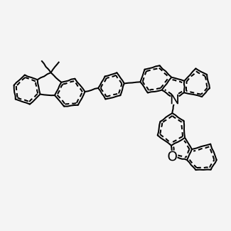 CC1(C)c2ccccc2-c2ccc(-c3ccc(-c4ccc5c6ccccc6n(-c6ccc7oc8ccccc8c7c6)c5c4)cc3)cc21